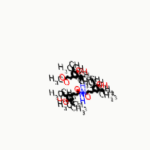 CC(C)(C)c1cc(CCC(=O)NNC(=O)CCc2cc(C(C)(C)C)c(O)c(C(C)(C)C)c2)cc(C(C)(C)C)c1O.COC(=O)CCc1cc(C(C)(C)C)c(O)c(C(C)(C)C)c1